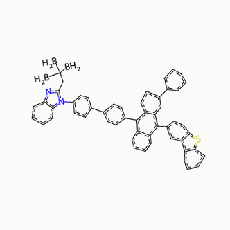 BC(B)(B)Cc1nc2ccccc2n1-c1ccc(-c2ccc(-c3c4ccccc4c(-c4ccc5sc6ccccc6c5c4)c4cc(-c5ccccc5)ccc34)cc2)cc1